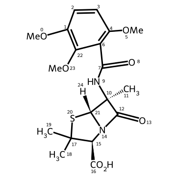 COc1ccc(OC)c(C(=O)N[C@@]2(C)C(=O)N3[C@@H](C(=O)O)C(C)(C)S[C@@H]32)c1OC